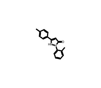 Cc1ccc(-c2cc(=O)n(-c3ccccc3C)[nH]2)cc1